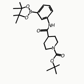 CC(C)(C)OC(=O)N1CCC(C(=O)Nc2cccc(B3OC(C)(C)C(C)(C)O3)c2)CC1